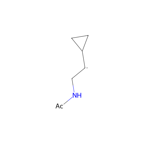 CC(=O)NC[CH]C1CC1